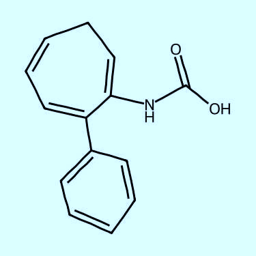 O=C(O)NC1=CCC=CC=C1c1ccccc1